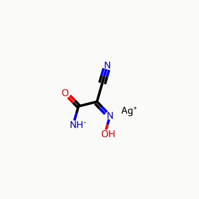 N#CC(=NO)C([NH-])=O.[Ag+]